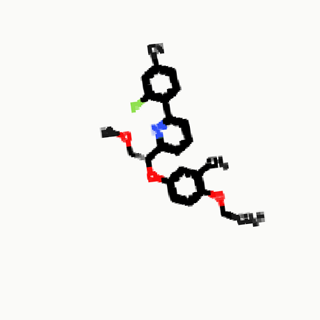 CCOC[C@@H](Oc1ccc(OCC(=O)O)c(C)c1)c1cccc(-c2ccc(C#N)cc2F)n1